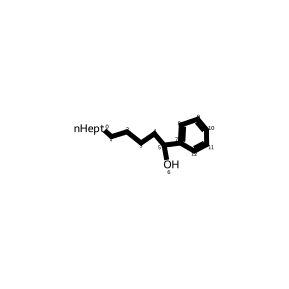 CCCCCCCCCCCC(O)c1ccccc1